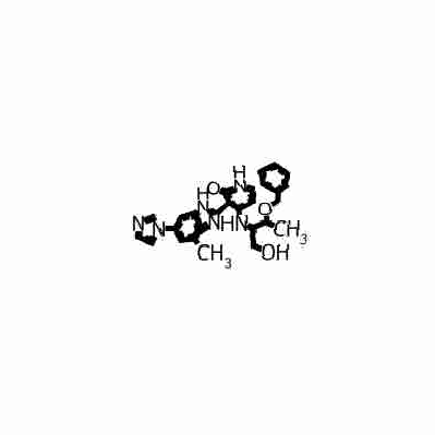 Cc1cc(-n2ccnc2)cc2[nH]c(-c3c(NC(CO)C(C)OCc4ccccc4)cc[nH]c3=O)nc12